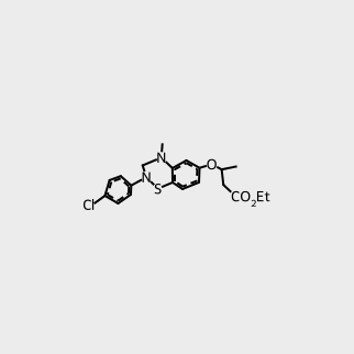 CCOC(=O)CC(C)Oc1ccc2c(c1)N(C)CN(c1ccc(Cl)cc1)S2